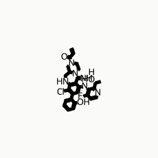 C=CC(=O)N1CCN2C(=N)c3c(Nc4c(C)ccnc4C(C)O)c(F)c(-c4ccccc4O)c(Cl)c3NCC2C1